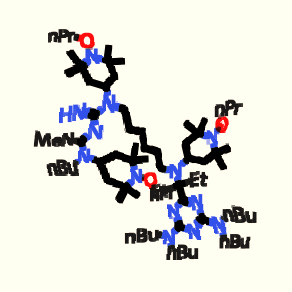 CCCCN(CCCC)c1nc(N(CCCC)CCCC)nc(C(CC)(CC)N(CCCCCCN(C(=N)/N=C(\NC)N(CCCC)C2CC(C)(C)N(OCCC)C(C)(C)C2)C2CC(C)(C)N(OCCC)C(C)(C)C2)C2CC(C)(C)N(OCCC)C(C)(C)C2)n1